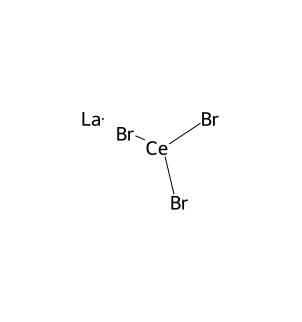 [Br][Ce]([Br])[Br].[La]